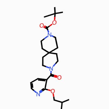 CC(C)COc1ncccc1C(=O)N1CCC2(CCN(C(=O)OC(C)(C)C)CC2)CC1